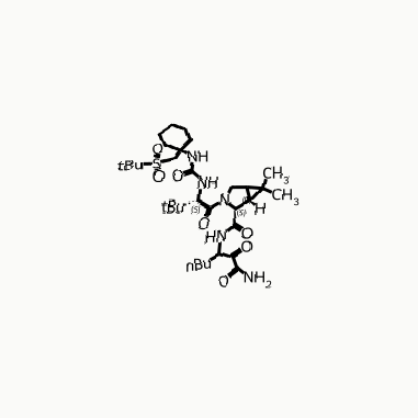 CCCCC(NC(=O)[C@@H]1[C@@H]2C(CN1C(=O)[C@@H](NC(=O)NC1(CS(=O)(=O)C(C)(C)C)CCCCC1)C(C)(C)C)C2(C)C)C(=O)C(N)=O